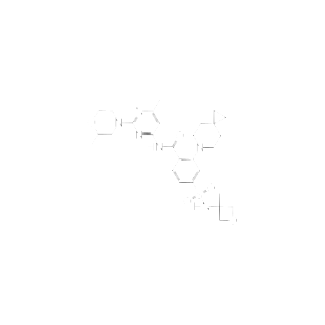 Cc1cc(NC(=O)c2ccc(S(=O)(=O)NC3(C)COC3)cc2N2CCC3(CC2)CC3)nc(N2CCOC(C)C2)n1